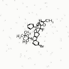 Cc1nnc(C(F)(C2Cc3c(n(C(=O)OC(C)(C)C)c4ccc(Br)cc34)C2)S(=O)(=O)c2ccccc2)o1